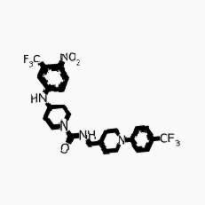 O=C(NCC1CCN(c2ccc(C(F)(F)F)cc2)CC1)N1CCC(Nc2ccc([N+](=O)[O-])c(C(F)(F)F)c2)CC1